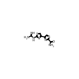 N=C(N)Nc1nc(-c2csc(C(N)=O)n2)cs1